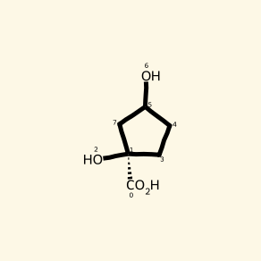 O=C(O)[C@@]1(O)CCC(O)C1